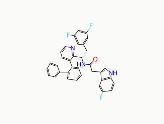 O=C(Cc1c[nH]c2ccc(F)cc12)N[C@@H](Cc1cc(F)cc(F)c1)c1ncccc1-c1ccccc1-c1ccccc1